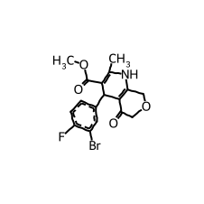 COC(=O)C1=C(C)NC2=C(C(=O)COC2)C1c1ccc(F)c(Br)c1